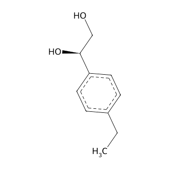 CCc1ccc([C@@H](O)CO)cc1